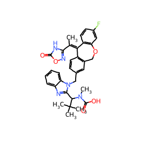 CC(=C1c2ccc(Cn3c(C(N(C)C(=O)O)C(C)(C)C)nc4ccccc43)cc2COc2cc(F)ccc21)c1noc(=O)[nH]1